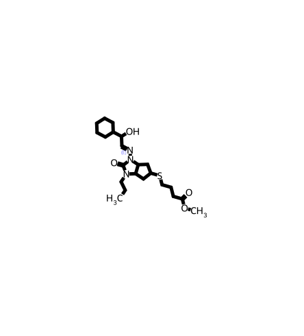 CCCN1C(=O)N(/N=C/C(O)C2CCCCC2)C2CC(SCCCC(=O)OC)CC21